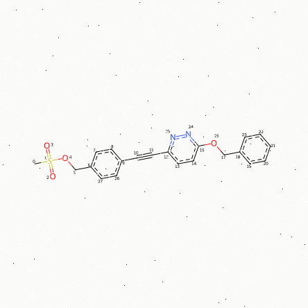 CS(=O)(=O)OCc1ccc(C#Cc2ccc(OCc3ccccc3)nn2)cc1